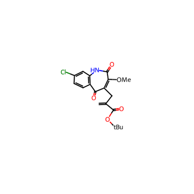 C=C(Cc1c(OC)c(=O)[nH]c2cc(Cl)ccc2c1=O)C(=O)OC(C)(C)C